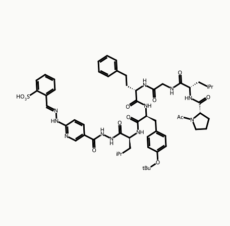 CC(=O)N1CCC[C@H]1C(=O)N[C@@H](CC(C)C)C(=O)NCC(=O)N[C@@H](CCc1ccccc1)C(=O)N[C@@H](Cc1ccc(OC(C)(C)C)cc1)C(=O)N[C@@H](CC(C)C)C(=O)NNC(=O)c1ccc(N/N=C/c2ccccc2S(=O)(=O)O)nc1